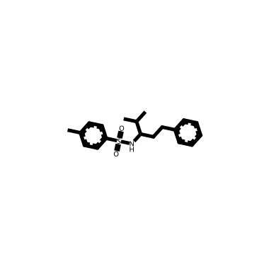 Cc1ccc(S(=O)(=O)NC(CCc2ccccc2)C(C)C)cc1